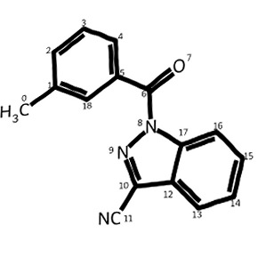 Cc1cccc(C(=O)n2nc(C#N)c3ccccc32)c1